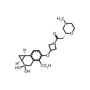 CN1CCO[C@H](CC(=O)N2CC(Oc3ccc4c(c3C(=O)O)C[B-](O)(O)[C@H]3C[C@@H]43)C2)C1